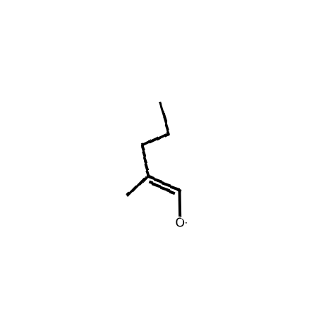 CCCC(C)=C[O]